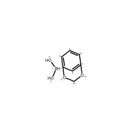 OBO.c1cc2cc(c1)OCO2